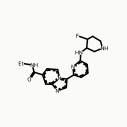 CCNC(=O)c1ccn2c(-c3cccc(NC4CNCCC4F)n3)cnc2c1